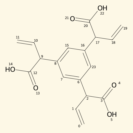 C=CC(C(=O)O)c1cc(C(C=C)C(=O)O)cc(C(C=C)C(=O)O)c1